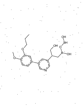 CCCOc1cc(-c2cncc(C(CO)CB(O)OBO)c2)ccc1OC